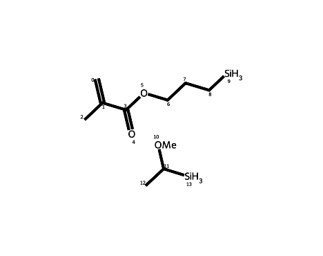 C=C(C)C(=O)OCCC[SiH3].COC(C)[SiH3]